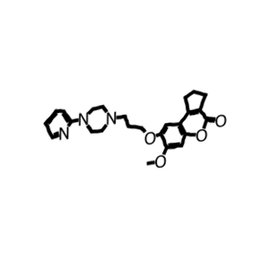 COc1cc2oc(=O)c3c(c2cc1OCCCN1CCN(c2ccccn2)CC1)CCC3